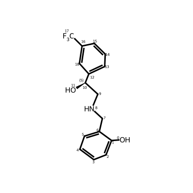 Oc1ccccc1CNC[C@@H](O)c1cccc(C(F)(F)F)c1